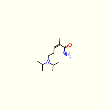 CC(=CCCN(C(C)C)C(C)C)C(N)=O